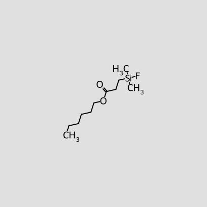 CCCCCCOC(=O)CC[Si](C)(C)F